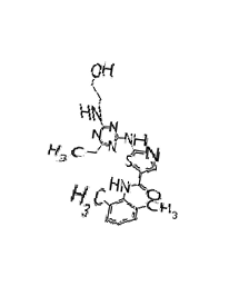 CCc1nc(NCCO)nc(Nc2ncc(C(=O)Nc3c(C)cccc3C)s2)n1